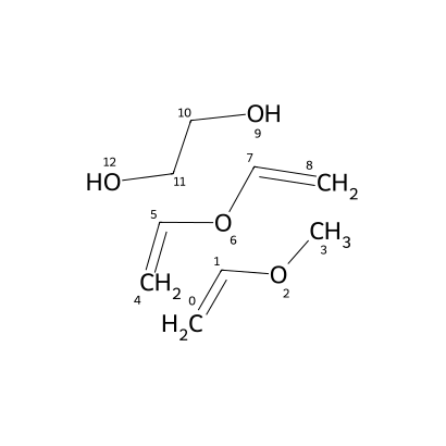 C=COC.C=COC=C.OCCO